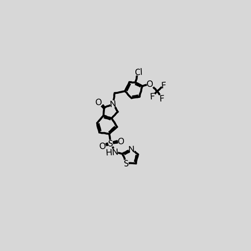 O=C1c2ccc(S(=O)(=O)Nc3nccs3)cc2CN1Cc1ccc(OC(F)(F)F)c(Cl)c1